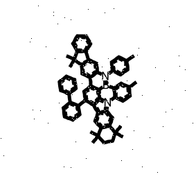 Cc1ccc(N2B3c4cc(C)ccc4-n4c5cc6c(cc5c5c(-c7ccccc7-c7ccccc7)cc(c3c54)-c3cc4c(cc32)-c2ccccc2C4(C)C)C(C)(C)CCC6(C)C)cc1